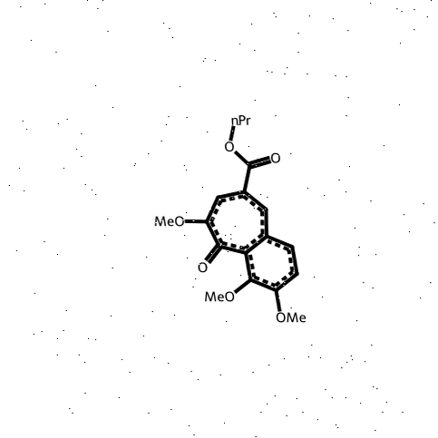 CCCOC(=O)c1cc(OC)c(=O)c2c(OC)c(OC)ccc2c1